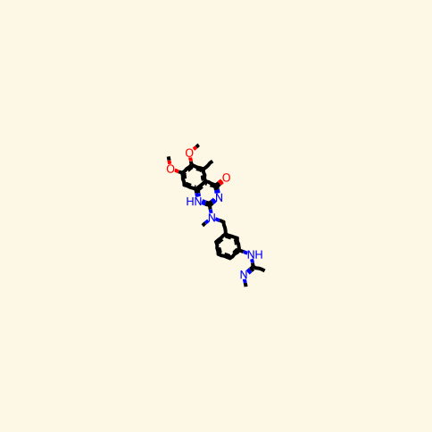 CN=C(C)Nc1cccc(CN(C)c2nc(=O)c3c(C)c(OC)c(OC)cc3[nH]2)c1